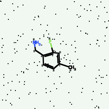 Cc1ccc(CN)c(F)c1